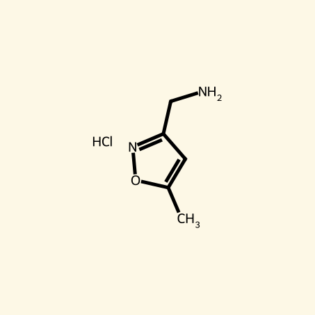 Cc1cc(CN)no1.Cl